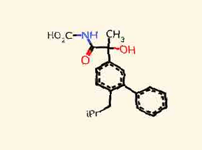 CC(C)Cc1ccc(C(C)(O)C(=O)NC(=O)O)cc1-c1ccccc1